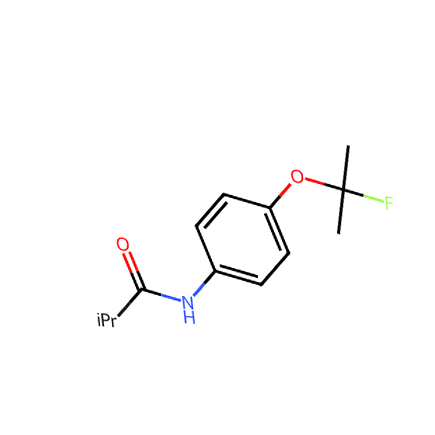 CC(C)C(=O)Nc1ccc(OC(C)(C)F)cc1